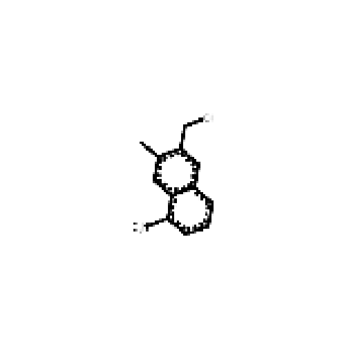 Cc1cc2c([N+](=O)[O-])cccc2cc1CO